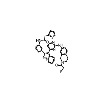 O=C(Cc1cccs1)Nc1cccc(-c2nn3ccccc3c2-c2ccnc(Nc3ccc4c(c3)CN(C(=O)CF)CC4)n2)c1